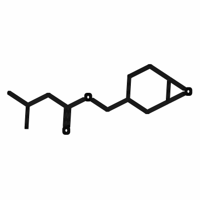 CC(C)CC(=O)OCC1CCC2OC2C1